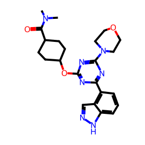 CN(C)C(=O)C1CCC(Oc2nc(-c3cccc4[nH]ncc34)nc(N3CCOCC3)n2)CC1